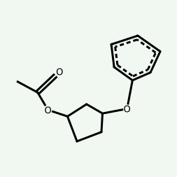 CC(=O)OC1CCC(Oc2ccccc2)C1